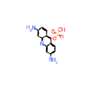 Nc1ccc2cc3ccc(N)cc3nc2c1.O=S(=O)(O)O